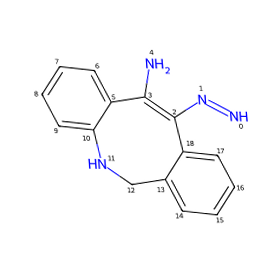 N=N/C1=C(\N)c2ccccc2NCc2ccccc21